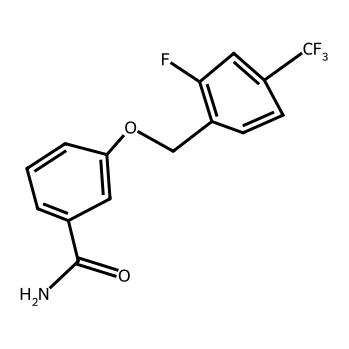 NC(=O)c1cccc(OCc2ccc(C(F)(F)F)cc2F)c1